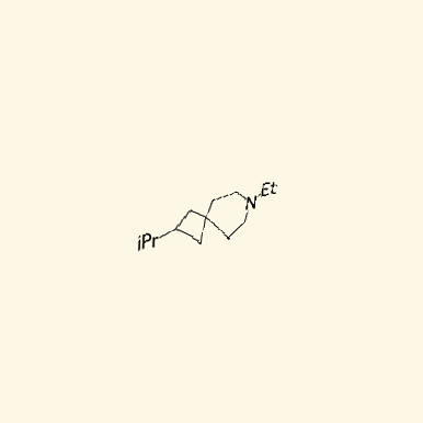 CCN1CCC2(CC1)CC(C(C)C)C2